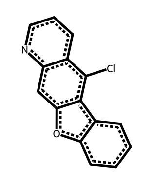 Clc1c2cccnc2cc2oc3ccccc3c12